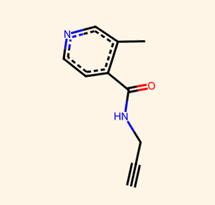 C#CCNC(=O)c1ccncc1C